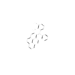 Clc1cccc(N(c2ccccc2)c2ccc3ccc4cccc5ccc2c3c45)c1Cl